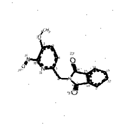 COc1ccc(CN2C(=O)c3ccccc3C2=O)nc1N=O